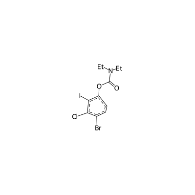 CCN(CC)C(=O)Oc1ccc(Br)c(Cl)c1I